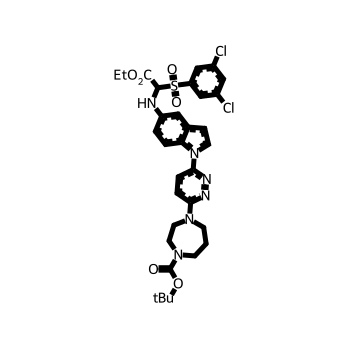 CCOC(=O)C(Nc1ccc2c(ccn2-c2ccc(N3CCCN(C(=O)OC(C)(C)C)CC3)nn2)c1)S(=O)(=O)c1cc(Cl)cc(Cl)c1